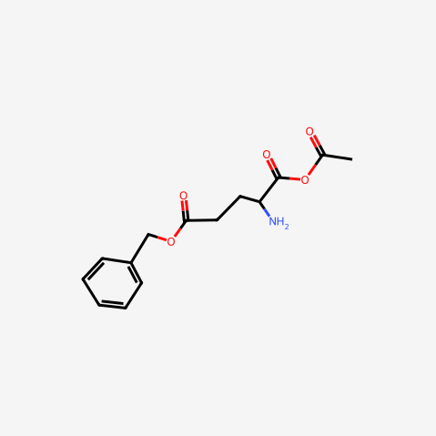 CC(=O)OC(=O)C(N)CCC(=O)OCc1ccccc1